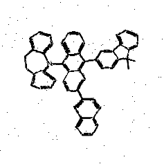 CC1(C)c2ccccc2-c2cc(-c3c4ccccc4c(N4c5ccccc5CCc5ccccc54)c4ccc(-c5ccc6ccccc6c5)cc34)ccc21